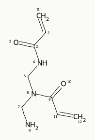 C=CC(=O)NCN(CN)C(=O)C=C